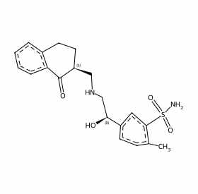 Cc1ccc([C@@H](O)CNC[C@@H]2CCc3ccccc3C2=O)cc1S(N)(=O)=O